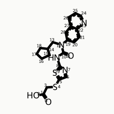 O=C(O)CSc1cnc(NC(=O)N(CC2CCCC2)c2ccc3ncccc3c2)s1